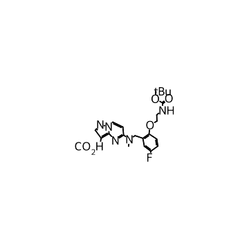 CN(Cc1cc(F)ccc1OCCNC(=O)OC(C)(C)C)c1ccn2ncc(C(=O)O)c2n1